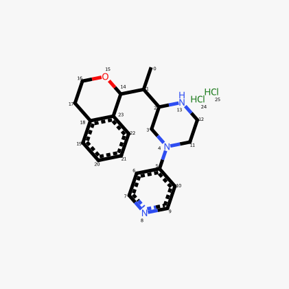 CC(C1CN(c2ccncc2)CCN1)C1OCCc2ccccc21.Cl.Cl